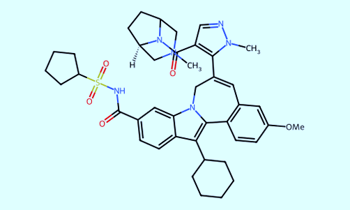 COc1ccc2c(c1)C=C(c1c(C(=O)N3C4CC[C@@H]3CN(C)C4)cnn1C)Cn1c-2c(C2CCCCC2)c2ccc(C(=O)NS(=O)(=O)C3CCCC3)cc21